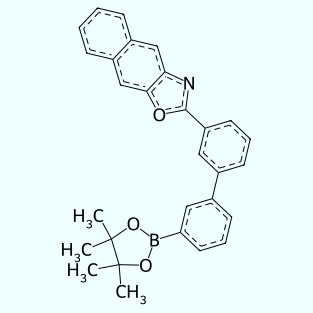 CC1(C)OB(c2cccc(-c3cccc(-c4nc5cc6ccccc6cc5o4)c3)c2)OC1(C)C